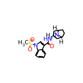 CN1[C@@H]2CC[C@H]1C[C@@H](NC(=O)c1cn(S(C)(=O)=O)c3ccccc13)C2